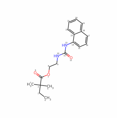 CCC(C)(C)C(=O)OCCNC(=O)Nc1cccc2ccccc12